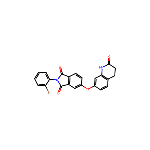 O=C1CCc2ccc(Oc3ccc4c(c3)C(=O)N(c3ccccc3Br)C4=O)cc2N1